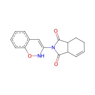 O=C1C2C=CCCC2C(=O)N1C1=Cc2ccccc2ON1